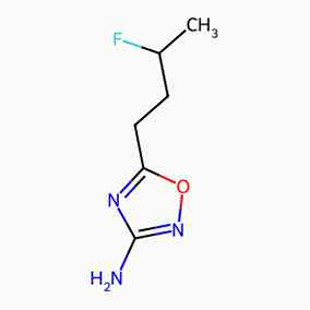 CC(F)CCc1nc(N)no1